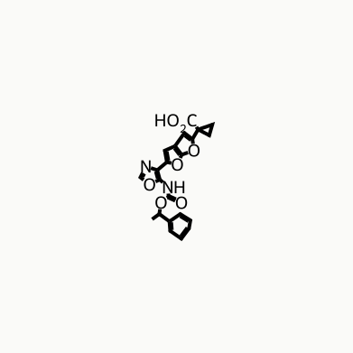 CC(OC(=O)Nc1ocnc1-c1cc2cc(C3(C(=O)O)CC3)oc2o1)c1ccccc1